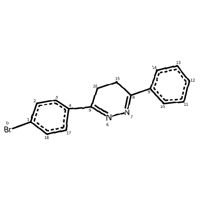 Brc1ccc(C2=NN=C(c3ccccc3)CC2)cc1